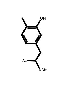 CNC(Cc1ccc(C)c(O)c1)C(C)=O